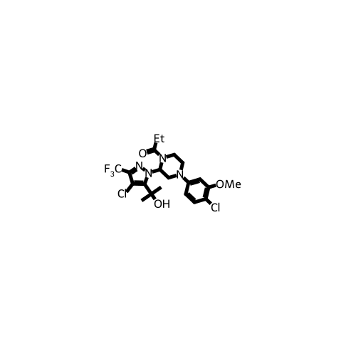 CCC(=O)N1CCN(c2ccc(Cl)c(OC)c2)CC1n1nc(C(F)(F)F)c(Cl)c1C(C)(C)O